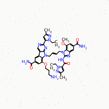 CCn1nc(C)cc1C(=O)Nc1nc2cc(C(N)=O)cc(OC)c2n1CC=CCn1c2nc(-c3cc(C)nn3CC)ncc2c2cc(C(N)=O)cc(OCCCN)c21